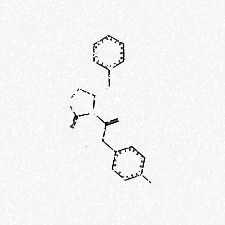 C[C@H](C(=O)N1C(=O)OC[C@@H]1Cc1ccccc1)c1ccc(Br)cc1